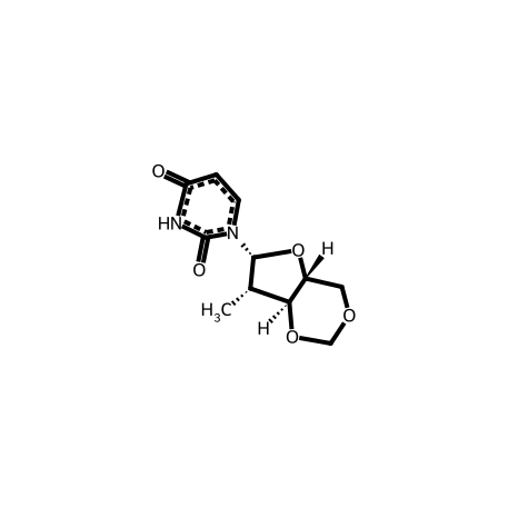 C[C@H]1[C@@H]2OCOC[C@H]2O[C@H]1n1ccc(=O)[nH]c1=O